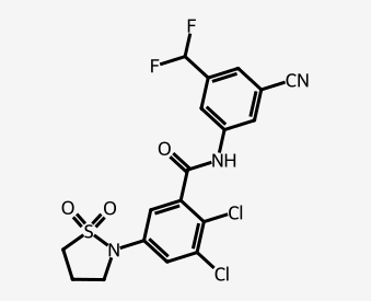 N#Cc1cc(NC(=O)c2cc(N3CCCS3(=O)=O)cc(Cl)c2Cl)cc(C(F)F)c1